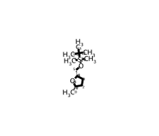 C[C@H]1CC[C@@H](CO[Si](C)(C)C(C)(C)C)O1